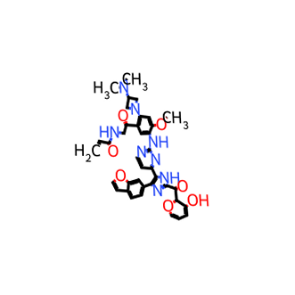 C=CC(=O)NCC(=O)c1cc(Nc2nccc(-c3[nH]c(C(=O)C4OC=CC=C4O)nc3-c3ccc4ccoc4c3)n2)c(OC)cc1N1CC(N(C)C)C1